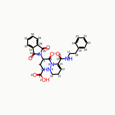 O=C(O)CCC(C(=O)N1NCCC=C1C(=O)NCCc1ccccc1)N1C(=O)c2ccccc2C1=O